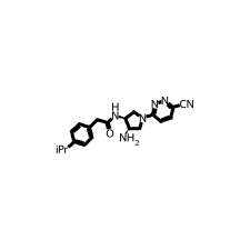 CC(C)c1ccc(CC(=O)N[C@H]2CN(c3ccc(C#N)nn3)C[C@@H]2N)cc1